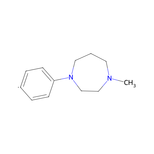 CN1CCCN(c2cc[c]cc2)CC1